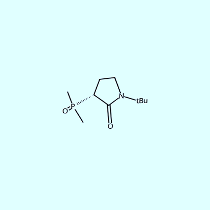 CC(C)(C)N1CC[C@@H](P(C)(C)=O)C1=O